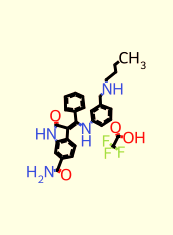 CCCCNCc1cccc(NC(=C2C(=O)Nc3cc(C(N)=O)ccc32)c2ccccc2)c1.O=C(O)C(F)(F)F